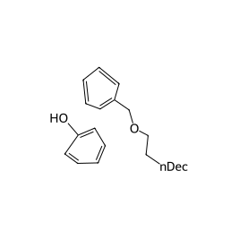 CCCCCCCCCCCCOCc1ccccc1.Oc1ccccc1